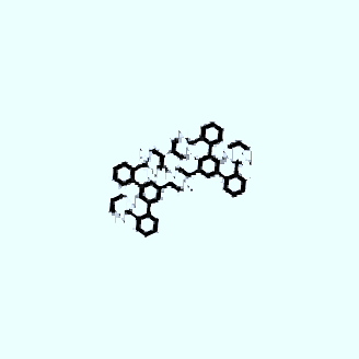 c1cnc(-c2ccccc2-c2cc(-c3cnc(-c4cc(-c5ccccc5-c5ncccn5)cc(-c5ccccc5-c5ncccn5)c4)cn3)cc(-c3ccccc3-c3ncccn3)c2)nc1